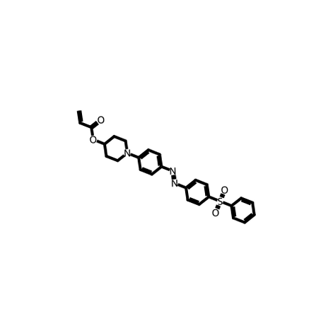 C=CC(=O)OC1CCN(c2ccc(N=Nc3ccc(S(=O)(=O)c4ccccc4)cc3)cc2)CC1